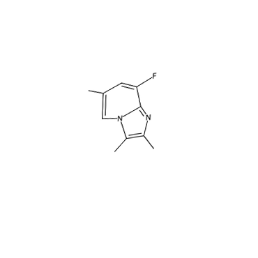 Cc1cc(F)c2nc(C)c(C)n2c1